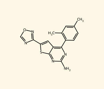 Cc1ccc(-c2nc(N)nc3sc(-c4ncon4)cc23)c(C)c1